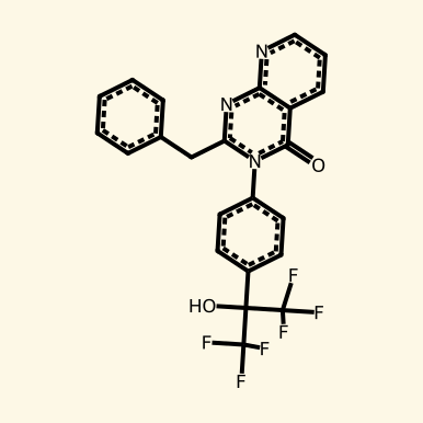 O=c1c2cccnc2nc(Cc2ccccc2)n1-c1ccc(C(O)(C(F)(F)F)C(F)(F)F)cc1